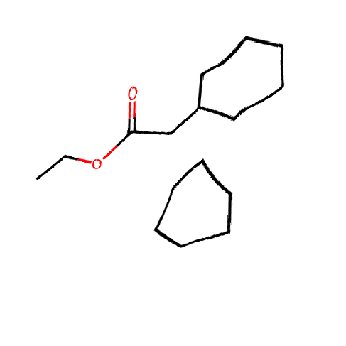 C1CCCCC1.CCOC(=O)CC1CCCCC1